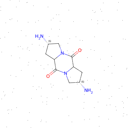 N[C@H]1CC2C(=O)N3C[C@@H](N)CC3C(=O)N2C1